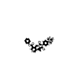 O=C(Oc1ccccc1)c1cnccc1CN1C(=O)N(c2ccc(S(=O)(=O)C(F)(F)F)cc2)C(=O)C12CC2